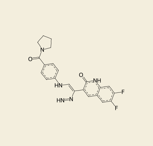 N=N/C(=C\Nc1ccc(C(=O)N2CCCC2)cc1)c1cc2cc(F)c(F)cc2[nH]c1=O